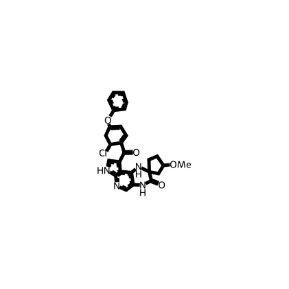 COC1CCC2(C1)Nc1c(cnc3[nH]cc(C(=O)C4=CC=C(Oc5ccccc5)CC4Cl)c13)NC2=O